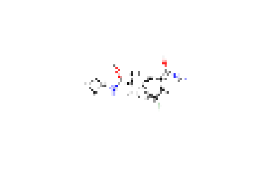 CC(C)(C(=O)NC1CCC1)c1cc(F)cc(C(N)=O)c1